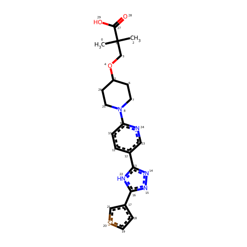 CC(C)(COC1CCN(c2ccc(-c3nnc(-c4ccsc4)[nH]3)cn2)CC1)C(=O)O